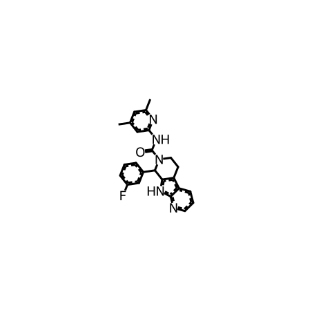 Cc1cc(C)nc(NC(=O)N2CCc3c([nH]c4ncccc34)C2c2cccc(F)c2)c1